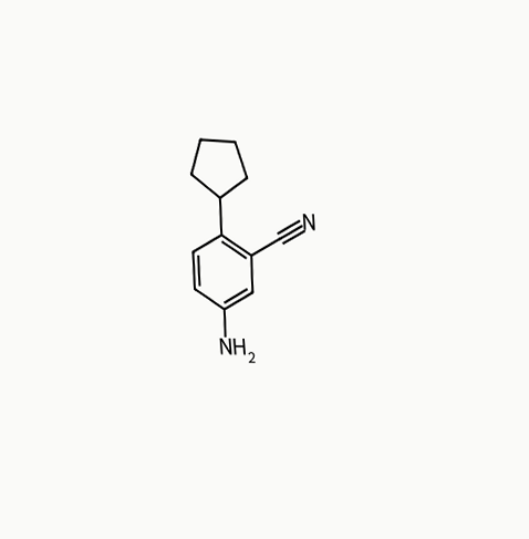 N#Cc1cc(N)ccc1C1CCCC1